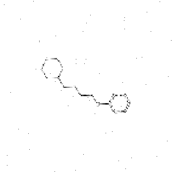 c1ccc(OCCCCC2CCCCC2)cc1